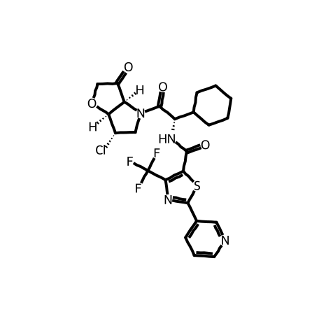 O=C(N[C@H](C(=O)N1C[C@H](Cl)[C@H]2OCC(=O)[C@H]21)C1CCCCC1)c1sc(-c2cccnc2)nc1C(F)(F)F